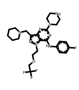 Fc1ccc(Nc2nc(N3CCNCC3)nc3c(CN4CCCCC4)nn(CCOCC(F)(F)F)c23)cc1